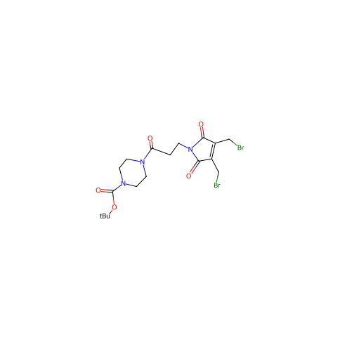 CC(C)(C)OC(=O)N1CCN(C(=O)CCN2C(=O)C(CBr)=C(CBr)C2=O)CC1